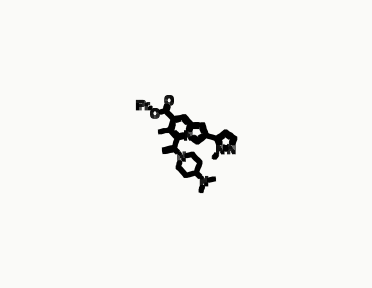 C=C(c1c(C)c(C(=O)OC(C)C)cc2cc(-c3ccnn3C)cn12)N1CCC(N(C)C)CC1